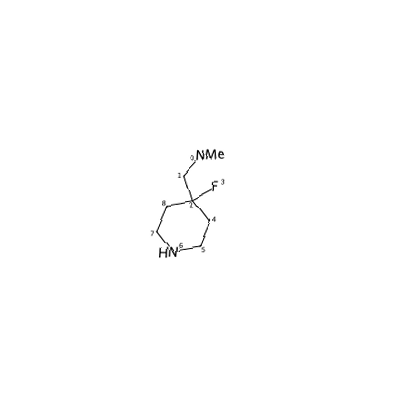 CNCC1(F)CCNCC1